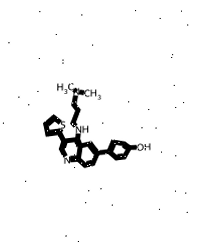 CN(C)CCCNc1c(-c2cccs2)cnc2ccc(-c3ccc(O)cc3)cc12